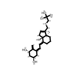 C=C1C(=CC=C2CCC[C@]3(C)C(CSCC(O)(CC)CC)=CC[C@@H]23)C[C@@H](O)C[C@@H]1O